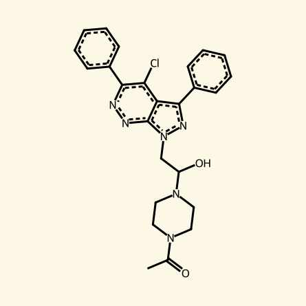 CC(=O)N1CCN(C(O)Cn2nc(-c3ccccc3)c3c(Cl)c(-c4ccccc4)nnc32)CC1